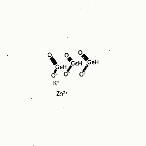 [K+].[O]=[GeH][O-].[O]=[GeH][O-].[O]=[GeH][O-].[Zn+2]